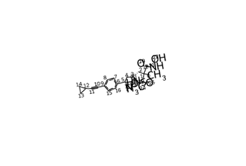 CC(C[C@H]1CC(c2ccc(C#CC3CC3)cc2)=NO1)(C(=O)NO)S(C)(=N)=O